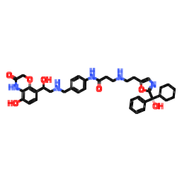 O=C(CCNCCc1cnc([C@](O)(c2ccccc2)C2CCCCC2)o1)Nc1ccc(CNCC(O)c2ccc(O)c3c2OCC(=O)N3)cc1